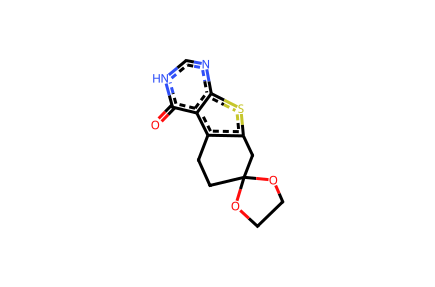 O=c1[nH]cnc2sc3c(c12)CCC1(C3)OCCO1